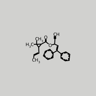 C#CC(C=C(c1ccccc1)c1ccccc1)OC(=O)C1C(C=CC)C1(C)C